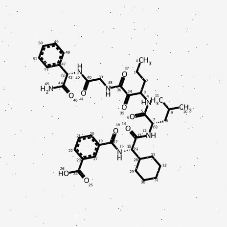 CCCC(NC(=O)[C@H](CC(C)C)NC(=O)[C@@H](NC(=O)c1cccc(C(=O)O)c1)C1CCCCC1)C(=O)C(=O)NCC(=O)N[C@H](C(N)=O)c1ccccc1